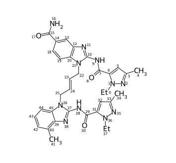 CCn1nc(C)cc1C(=O)Nc1nc2cc(C(N)=O)ccc2n1CC=CCn1c(NC(=O)c2cc(C)nn2CC)nc2c(C)cccc21